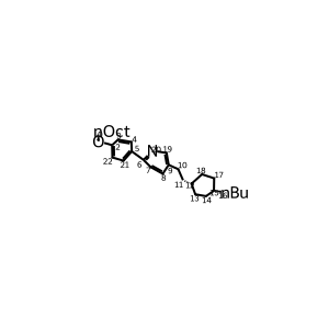 CCCCCCCCOc1ccc(-c2ccc(CC[C@H]3CC[C@H](CCCC)CC3)cn2)cc1